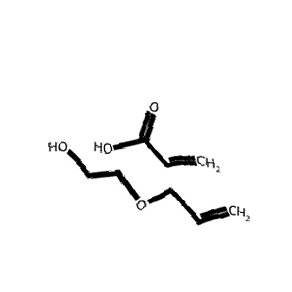 C=CC(=O)O.C=CCOCCO